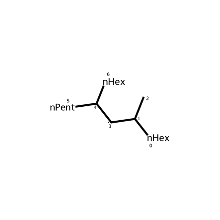 CCCCCCC(C)[CH]C(CCCCC)CCCCCC